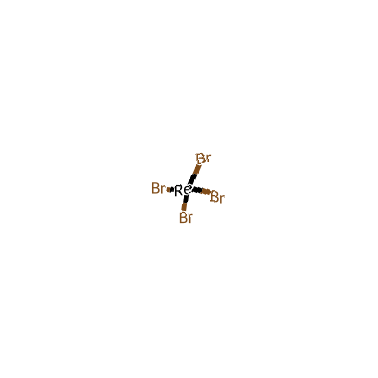 [Br][Re]([Br])([Br])[Br]